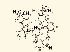 CC(C)(C)c1ccc2c(c1)c1ccccc1n2-c1cc(-c2cccc(C#N)c2C#N)cc(-n2c3ccccc3c3cc(C(C)(C)C)ccc32)n1